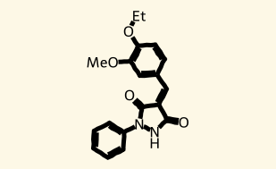 CCOc1ccc(C=C2C(=O)NN(c3ccccc3)C2=O)cc1OC